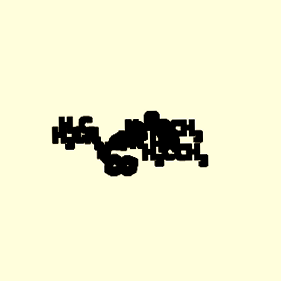 CCN(CC)CCN(Cc1ccc2ccccc2c1)C1C2CN(c3ncc(C(=O)NOC(C)OCC(C)C)cn3)CC21